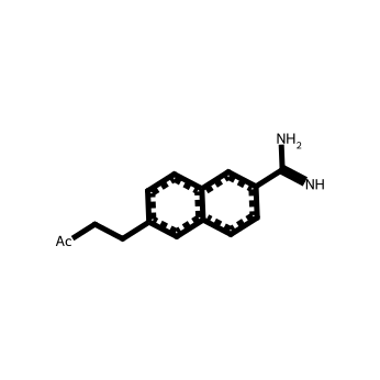 CC(=O)CCc1ccc2cc(C(=N)N)ccc2c1